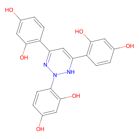 Oc1ccc(C2=CC(c3ccc(O)cc3O)=NN(c3ccc(O)cc3O)N2)c(O)c1